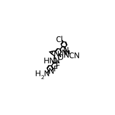 N#Cc1cn(-c2ccc(Cl)cc2-c2cc3n(c(=O)c2)C(c2nc(F)c(-c4ccc(N)nc4F)[nH]2)C2CC32)nn1